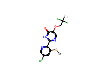 CCSc1cc(Br)cnc1-c1ncc(OCC(F)(F)C(F)(F)F)c(=O)[nH]1